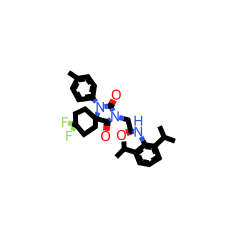 Cc1ccc(N2C(=O)N(CC(=O)Nc3c(C(C)C)cccc3C(C)C)C(=O)C23CCC(F)(F)CC3)cc1